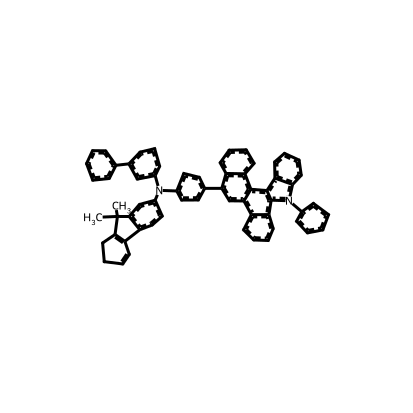 CC1(C)C2=C(C=CCC2)c2ccc(N(c3ccc(-c4cc5c6ccccc6c6c(c7ccccc7n6-c6ccccc6)c5c5ccccc45)cc3)c3cccc(-c4ccccc4)c3)cc21